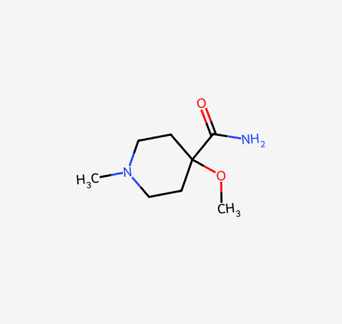 COC1(C(N)=O)CCN(C)CC1